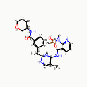 CN(c1ncccc1CNc1nc([AsH]c2cccc(C(=O)NC3CCCOC3)c2)ncc1C(F)(F)F)S(C)(=O)=O